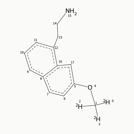 [2H]C([2H])([2H])Oc1ccc2cccc(CCN)c2c1